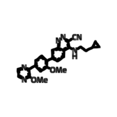 COc1cc(-c2nccnc2OC)ccc1-c1ccc2c(NCCC3CC3)c(C#N)nnc2c1